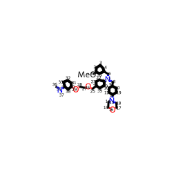 COc1cccc(CN(Cc2ccc(N3CCOCC3)cc2)c2ccc(COCCOc3cccc(N(C)C)c3)cc2)c1